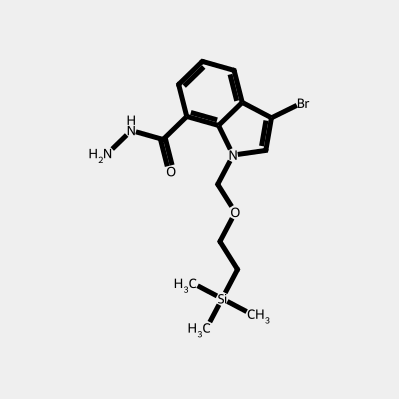 C[Si](C)(C)CCOCn1cc(Br)c2cccc(C(=O)NN)c21